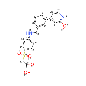 COc1cc(-c2cccc(CNc3ccc(S(=O)(=O)CC(=O)O)cc3)c2)ccn1